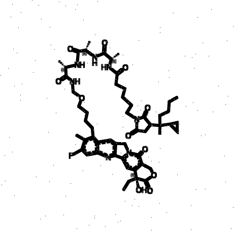 CCCCC(C)(C1CC1)C1CC(=O)N(CCCCCC(=O)N[C@@H](C)C(=O)N[C@@H](C)C(=O)N[C@@H](C)C(=O)NCOCCCCc2c(C)c(F)cc3nc4c(cc23)Cn2c-4cc3c(c2=O)COC(=O)[C@]3(O)CC)C1=O